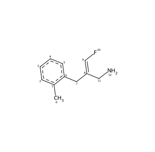 Cc1ccccc1CC(=CF)CN